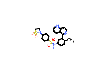 Cc1ccc(NS(=O)(=O)c2ccc(N3CCS3(=O)=O)cc2)cc1-c1nccc2ncccc12